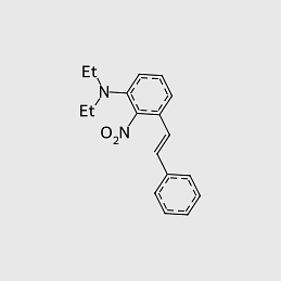 CCN(CC)c1cccc(C=Cc2ccccc2)c1[N+](=O)[O-]